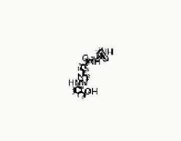 CC(O)c1cccc(Nc2nccc(-c3ccc(C(=O)NCCN4CCNC4=O)s3)n2)c1